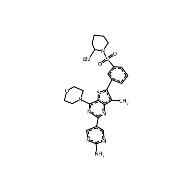 Cc1c(-c2cccc(S(=O)(=O)N3CCCCC3C(C)(C)C)c2)sc2c(N3CCOCC3)nc(-c3cnc(N)nc3)nc12